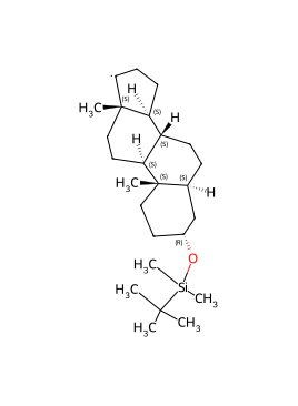 CC(C)(C)[Si](C)(C)O[C@@H]1CC[C@@]2(C)[C@@H](CC[C@@H]3[C@@H]2CC[C@]2(C)[CH]CC[C@@H]32)C1